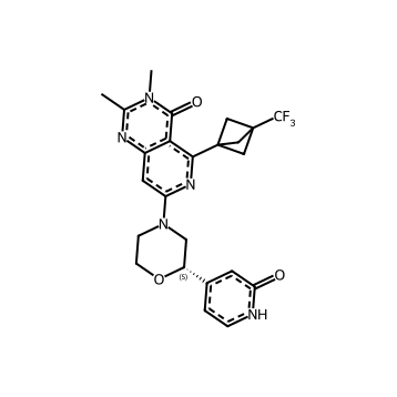 Cc1nc2cc(N3CCO[C@@H](c4cc[nH]c(=O)c4)C3)nc(C34CC(C(F)(F)F)(C3)C4)c2c(=O)n1C